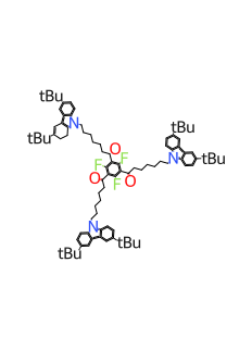 CC(C)(C)C1=Cc2c(n(CCCCCCC(=O)c3c(F)c(C(=O)CCCCCCn4c5ccc(C(C)(C)C)cc5c5cc(C(C)(C)C)ccc54)c(F)c(C(=O)CCCCCCn4c5ccc(C(C)(C)C)cc5c5cc(C(C)(C)C)ccc54)c3F)c3ccc(C(C)(C)C)cc23)CC1